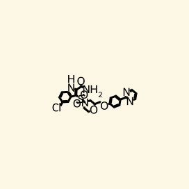 NC(=O)c1[nH]c2ccc(Cl)cc2c1S(=O)(=O)N1CCOC(COc2ccc(-c3ncccn3)cc2)C1